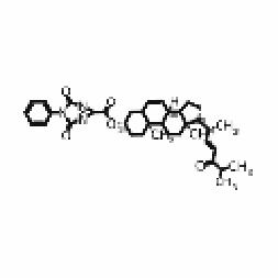 CC(C)C(=O)C=C[C@@H](C)[C@H]1CCC2[C@H]3C=CC4C[C@@H](OC(=O)C5n6c(=O)n(-c7ccccc7)c(=O)n65)CC[C@]4(C)C3CC[C@@]21C